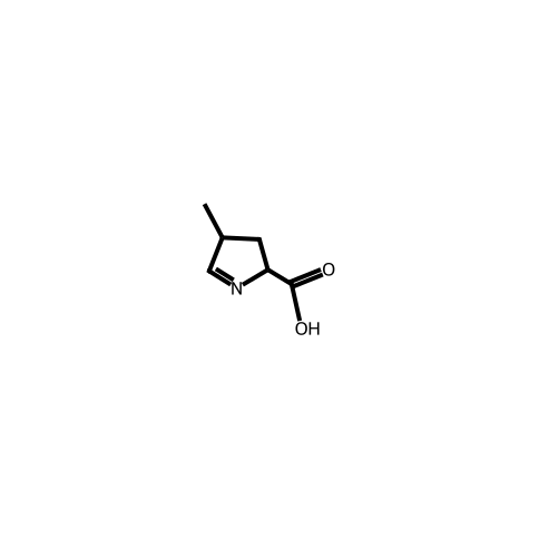 CC1C=NC(C(=O)O)C1